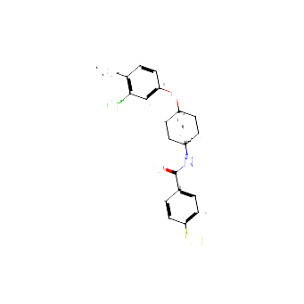 N#Cc1ccc(OC23CCC(NC(=O)c4ccc(S)cc4)(CC2)CC3)cc1Cl